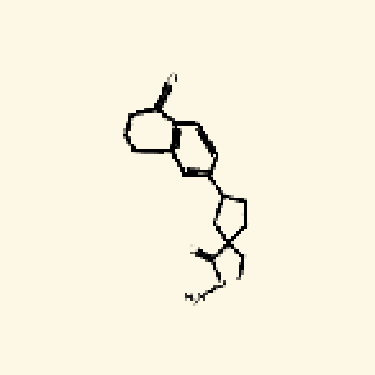 CCC1(C(=O)ON)CCC(c2ccc3c(c2)CCCC3=O)C1